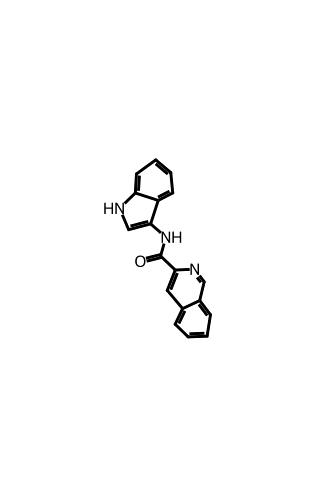 O=C(Nc1c[nH]c2ccccc12)c1cc2ccccc2cn1